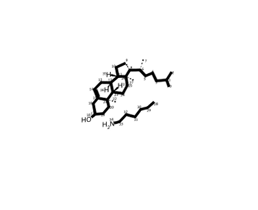 CC(C)CCC[C@@H](C)[C@H]1CC[C@H]2[C@@H]3CC=C4CC(O)CC[C@]4(C)[C@H]3CC[C@]12C.CCCCCCN